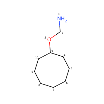 NCOC1CCCCCCC1